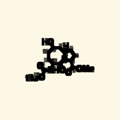 COC(=O)[C@@H]1CC[C@@H]2CC(O)CC[C@H](NC(=O)OC(C)(C)C)C(=O)N21